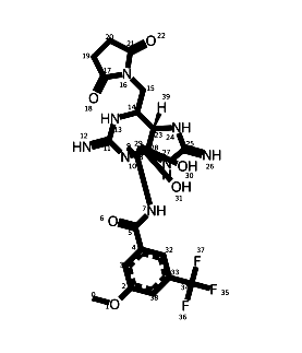 COc1cc(C(=O)NC2CN3C(=N)NC(CN4C(=O)CCC4=O)[C@@H]4NC(=N)NC43C2(O)O)cc(C(F)(F)F)c1